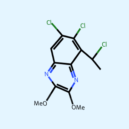 COc1nc2cc(Cl)c(Cl)c(C(C)Cl)c2nc1OC